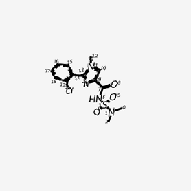 CN(C)S(=O)(=O)NC(=O)c1cn(C)c(-c2ccccc2Cl)n1